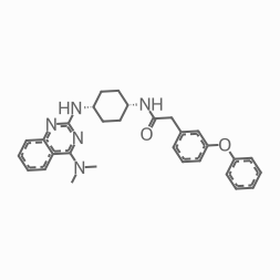 CN(C)c1nc(N[C@H]2CC[C@@H](NC(=O)Cc3cccc(Oc4ccccc4)c3)CC2)nc2ccccc12